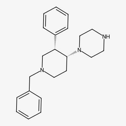 c1ccc(CN2CC[C@@H](N3CCNCC3)[C@@H](c3ccccc3)C2)cc1